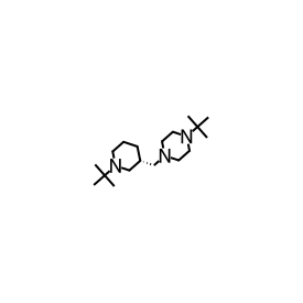 CC(C)(C)N1CCN(C[C@H]2CCCN(C(C)(C)C)C2)CC1